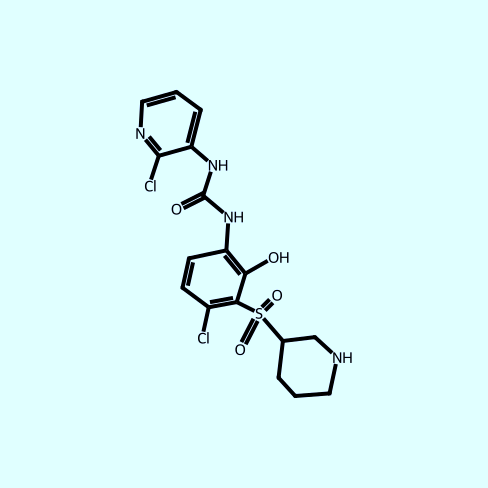 O=C(Nc1cccnc1Cl)Nc1ccc(Cl)c(S(=O)(=O)C2CCCNC2)c1O